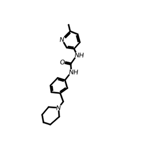 Cc1ccc(NC(=O)Nc2cccc(CN3CCCCC3)c2)cn1